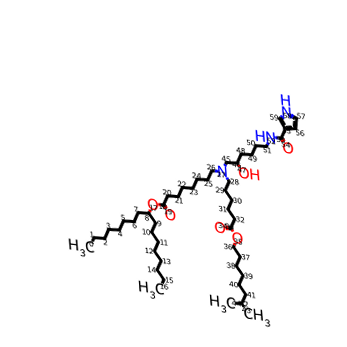 CCCCCCCCC(CCCCCCCC)OC(=O)CCCCCCCN(CCCCCC(=O)OCCCCCCC(C)C)CC(O)CCCCNC(=O)c1cc[nH]c1